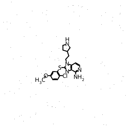 COc1ccc(Cl)c(Sc2nc3c(N)nccc3n2CCC2CCNC2)c1